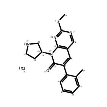 CSc1ncc2cc(-c3ccccc3C)c(=O)n([C@H]3CCNC3)c2n1.Cl